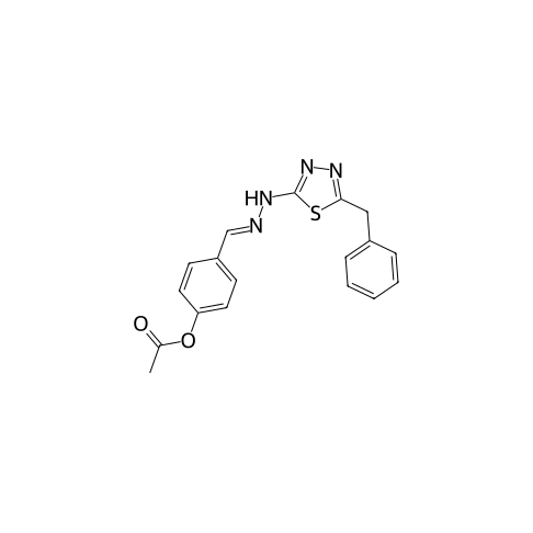 CC(=O)Oc1ccc(C=NNc2nnc(Cc3ccccc3)s2)cc1